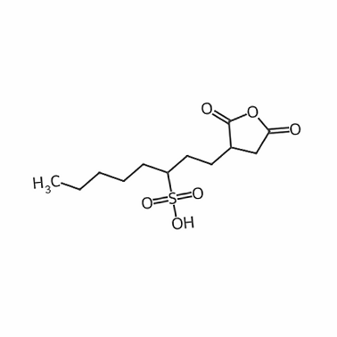 CCCCCC(CCC1CC(=O)OC1=O)S(=O)(=O)O